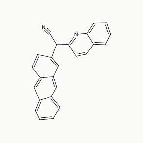 N#CC(c1ccc2cc3ccccc3cc2c1)c1ccc2ccccc2n1